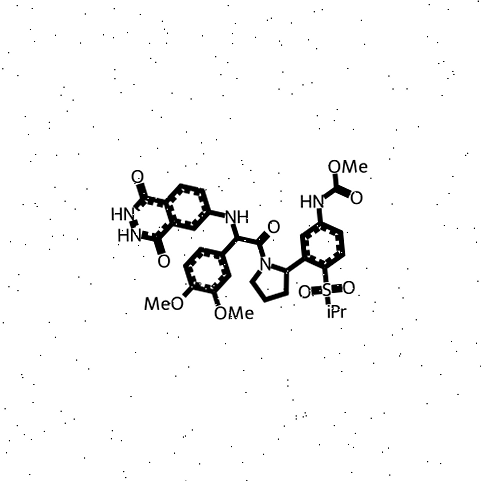 COC(=O)Nc1ccc(S(=O)(=O)C(C)C)c(C2CCCN2C(=O)C(Nc2ccc3c(=O)[nH][nH]c(=O)c3c2)c2ccc(OC)c(OC)c2)c1